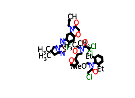 C#CCN1C(=O)COc2cc(F)c(/N=c3\snc4n3CC(C)(C)C4)cc21.CC1(C)OC(c2ccco2)CN1C(=O)C(Cl)Cl.CCc1cccc(CC)c1N(COC)C(=O)CCl